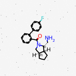 NC[C@@H]1[C@H]2CCC[C@H]2CN1C(=O)c1ccccc1-c1ccc(F)cc1